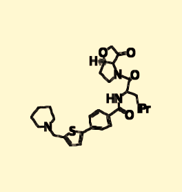 CC(C)CC(NC(=O)c1ccc(-c2ccc(CN3CCCCC3)s2)cc1)C(=O)N1CC[C@H]2OCC(=O)C21